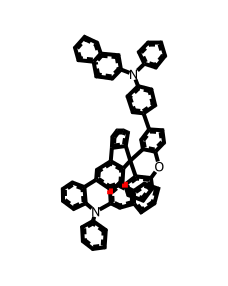 c1ccc(N(c2ccc(-c3ccc4c(c3)C3(c5ccccc5O4)c4ccccc4-c4cc(-c5ccccc5N(c5ccccc5)c5ccc6ccccc6c5)ccc43)cc2)c2ccc3ccccc3c2)cc1